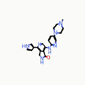 CN1CCN(c2ccc(Nc3cnc(-c4cc[nH]c4)c4c3C(=O)NC4)nc2)CC1